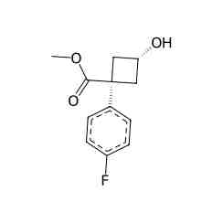 COC(=O)[C@]1(c2ccc(F)cc2)C[C@@H](O)C1